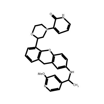 COc1cc(C(C)Nc2ccc3c(c2)Cc2cccc(C4CN(c5ccc[nH]c5=O)CCO4)c2O3)ccn1